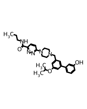 CCCNC(=O)c1ccc(N2CCN(Cc3cc(OC(C)C)cc(-c4cccc(O)c4)c3)CC2)nn1